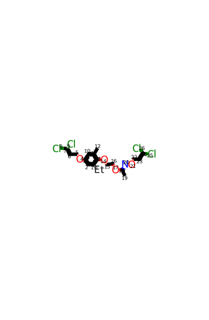 CCc1cc(OCC=C(Cl)Cl)cc(C)c1OCCOC(C)=NOCC=C(Cl)Cl